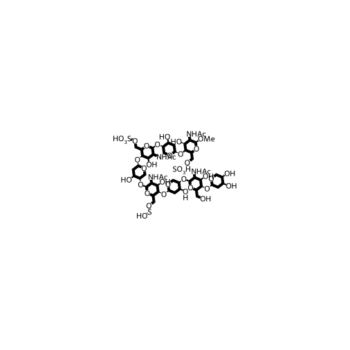 CO[C@H]1OC(COS(=O)(=O)O)[C@@H](O[C@H]2C[C@H](O)[C@@H](O[C@@H]3OC(COS(=O)(=O)O)[C@@H](O[C@H]4C[C@H](O)[C@@H](O[C@@H]5OC(COSO)[C@@H](O[C@H]6C[C@H](O)[C@@H](O[C@@H]7OC(CO)[C@@H](O[C@H]8C[C@H](O)[C@H](O)CO8)[C@H](O)C7NC(C)=O)CO6)[C@H](O)C5NC(C)=O)CO4)[C@H](O)C3NC(C)=O)CO2)[C@H](O)C1NC(C)=O